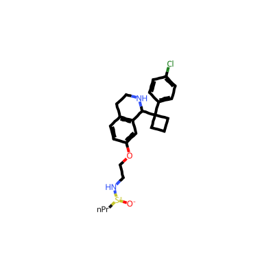 CCC[S+]([O-])NCCOc1ccc2c(c1)C(C1(c3ccc(Cl)cc3)CCC1)NCC2